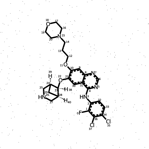 Fc1c(Nc2ncnc3cc(OCCCN4CCOCC4)c(O[C@@H]4[C@@H]5CNC[C@H]4C5)cc23)ccc(Cl)c1Cl